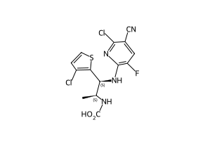 C[C@H](NC(=O)O)[C@H](Nc1nc(Cl)c(C#N)cc1F)c1sccc1Cl